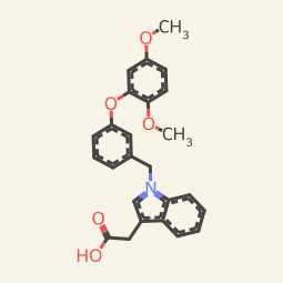 COc1ccc(OC)c(Oc2cccc(Cn3cc(CC(=O)O)c4ccccc43)c2)c1